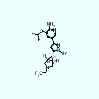 CC(C)n1nc(-c2cnc(N)c(OC(F)F)c2)cc1[C@@H]1[C@@H]2CN(CC(F)(F)F)C[C@@H]21